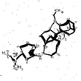 CCn1c2ccccc2c2cc3cc(c21)C3NC[C@H]1CC[C@@H](Nc2nccc(N(C)C)n2)CC1